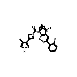 C=C1[C@@H]2CC[C@@]1(C(=O)N1CC(c3n[nH]cc3C)C1)c1nnc(-c3ccccc3F)cc12